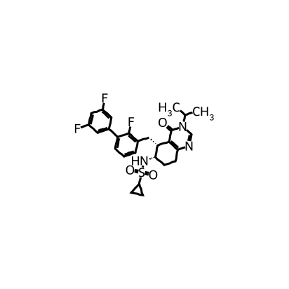 CC(C)n1cnc2c(c1=O)[C@@H](Cc1cccc(-c3cc(F)cc(F)c3)c1F)[C@@H](NS(=O)(=O)C1CC1)CC2